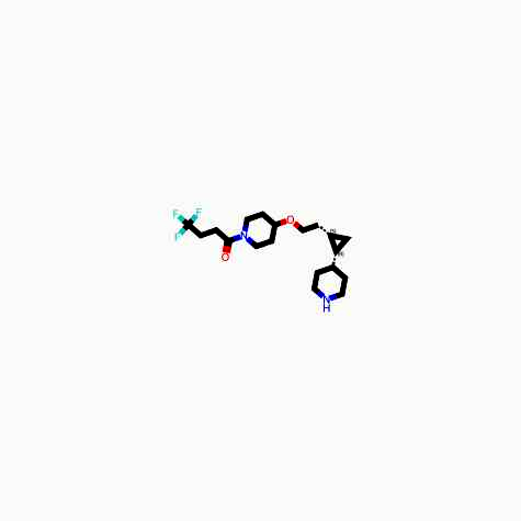 O=C(CCC(F)(F)F)N1CCC(OCC[C@@H]2C[C@@H]2C2CCNCC2)CC1